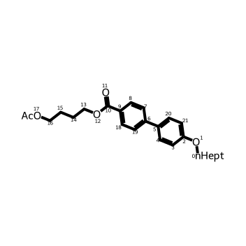 CCCCCCCOc1ccc(-c2ccc(C(=O)OCCCCOC(C)=O)cc2)cc1